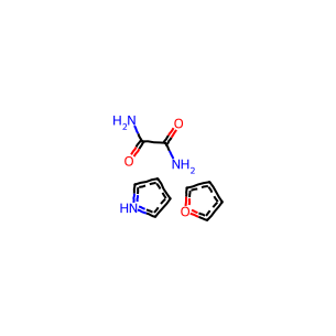 NC(=O)C(N)=O.c1cc[nH]c1.c1ccoc1